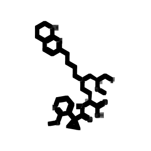 COc1ncccc1C1(C(=O)N[C@@H](CCN(CCCCc2ccc3c(n2)NCCC3)C[C@@H](CF)OC)C(=O)O)CC1